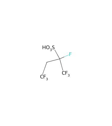 O=S(=O)(O)C(F)(CC(F)(F)F)C(F)(F)F